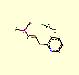 CC(C)P(C=CCc1ccccn1)C(C)C.[Cl][Pd][Cl]